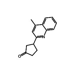 Cc1cc(C2CCC(=O)C2)nc2ccccc12